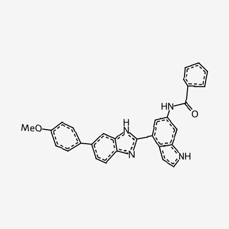 COc1ccc(-c2ccc3nc(-c4cc(NC(=O)c5ccccc5)cc5[nH]ccc45)[nH]c3c2)cc1